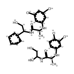 CCCCC(CO)NC(=O)[C@H](C)Nc1ccc(Cl)c(Cl)c1.C[C@H](Nc1cc(Cl)cc(Cl)c1)C(=O)NC(CO)c1ccccc1